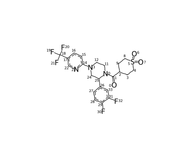 O=C(C1CCS(=O)(=O)CC1)N1CCN(c2ccc(C(F)(F)F)cn2)CC1c1ccc(F)c(F)c1